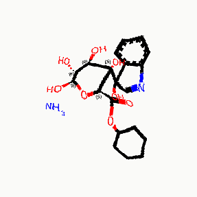 N.O=C(OC1CCCCC1)[C@H]1O[C@@H](O)[C@H](O)[C@@H](O)[C@@]1(O)C1(O)C=Nc2ccccc21